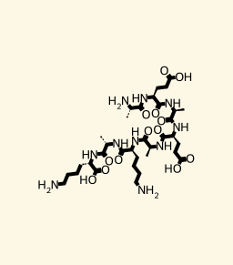 C[C@H](N)C(=O)N[C@@H](CCC(=O)O)C(=O)N[C@@H](C)C(=O)N[C@@H](CCC(=O)O)C(=O)N[C@@H](C)C(=O)N[C@@H](CCCCN)C(=O)N[C@@H](C)C(=O)N[C@@H](CCCCN)C(=O)O